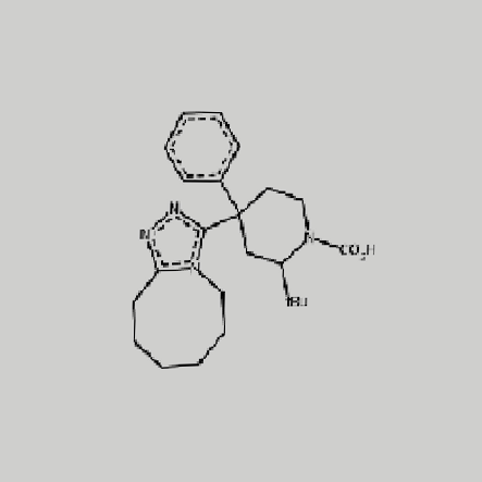 CC(C)(C)C1CC(c2ccccc2)(c2nnc3n2CCCCCC3)CCN1C(=O)O